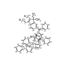 C=CC1=C(C)C(C)(C)c2cc(N(c3ccccc3)c3ccc(-c4cccc5c4C4(c6cc(-c7ccccc7)ccc6Sc6ccc(-c7ccccc7)cc64)c4ccccc4-5)cc3)ccc21